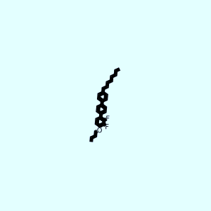 CCCCCCCCc1ccc(-c2ccc(-c3ccc(OCCCC)c(F)c3F)cc2)cc1